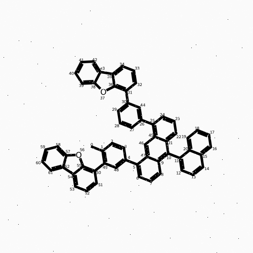 Cc1ccc(-c2cccc3c(-c4cccc5ccccc45)c4cccc(-c5cccc(-c6cccc7c6oc6ccccc67)c5)c4cc23)cc1-c1cccc2c1oc1ccccc12